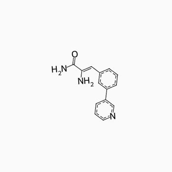 NC(=O)/C(N)=C/c1cccc(-c2cccnc2)c1